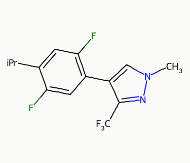 CC(C)c1cc(F)c(-c2cn(C)nc2C(F)(F)F)cc1F